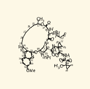 CCC[C@@H]1[C@@H]2CN(C(=O)[C@H](C(C)(C)C)NC(=O)OC(C)CCCCCC(F)(F)c3nc4ccc(OC)cc4nc3O2)[C@@H]1C(=O)N[C@]1(C(=O)NS(=O)(=O)C2(C)CC2)C[C@H]1C(F)F